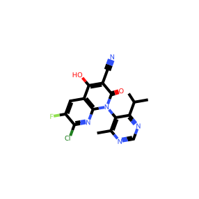 Cc1ncnc(C(C)C)c1-n1c(=O)c(C#N)c(O)c2cc(F)c(Cl)nc21